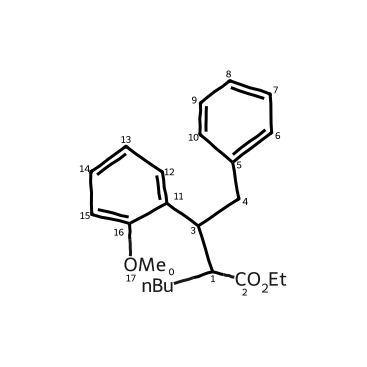 CCCCC(C(=O)OCC)C(Cc1ccccc1)c1ccccc1OC